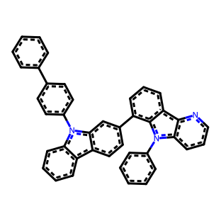 c1ccc(-c2ccc(-n3c4ccccc4c4ccc(-c5cccc6c7ncccc7n(-c7ccccc7)c56)cc43)cc2)cc1